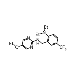 CCOc1cnc(NCc2cc(C(F)(F)F)ccc2N(CC)CC)nc1